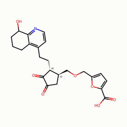 O=C1C[C@H](COCc2ccc(C(=O)O)o2)[C@@H](CCc2ccnc3c2CCCC3O)C1=O